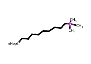 CCCCCCCCCCCCCCCC[P](C)(C)C